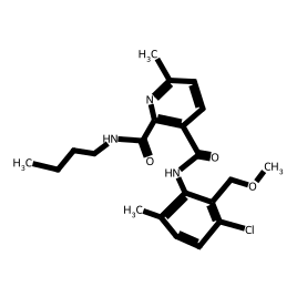 CCCCNC(=O)c1nc(C)ccc1C(=O)Nc1c(C)ccc(Cl)c1COC